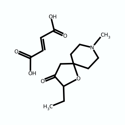 CCC1OC2(CCN(C)CC2)CC1=O.O=C(O)C=CC(=O)O